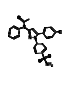 CC(=O)N(c1ccccc1)c1cc(-c2ccc(Cl)cc2)n(-c2ccc(S(N)(=O)=O)cc2)n1